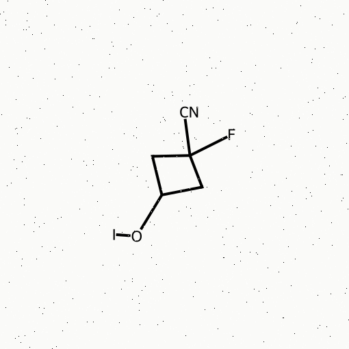 N#CC1(F)CC(OI)C1